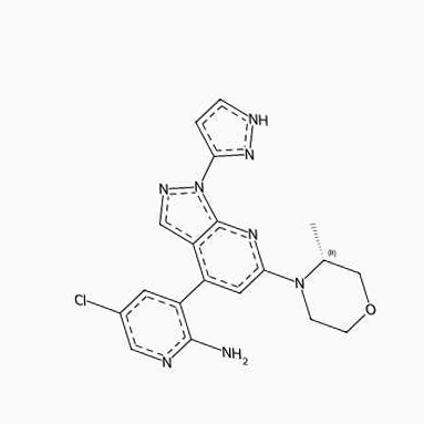 C[C@@H]1COCCN1c1cc(-c2cc(Cl)cnc2N)c2cnn(-c3cc[nH]n3)c2n1